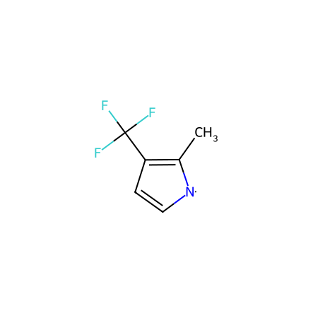 CC1=C(C(F)(F)F)C=C[N]1